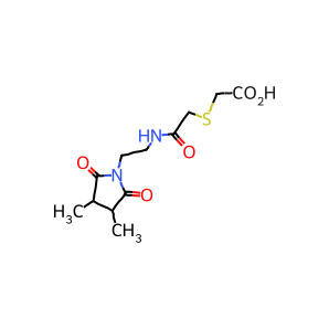 CC1C(=O)N(CCNC(=O)CSCC(=O)O)C(=O)C1C